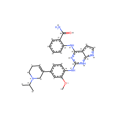 COc1cc(C2=CCCN(C(C)C)C2)ccc1Nc1nc(Nc2ccccc2C(N)=O)c2ccnc-2[nH]1